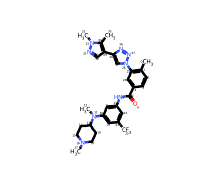 Cc1ccc(C(=O)Nc2cc(N(C)C3CCN(C)CC3)cc(C(F)(F)F)c2)cc1-n1cc(-c2cnn(C)c2C)nn1